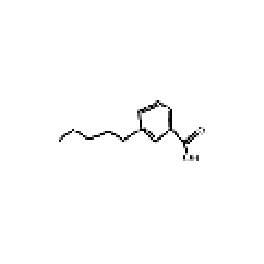 CC[CH]CCc1cccc(C(=O)O)c1